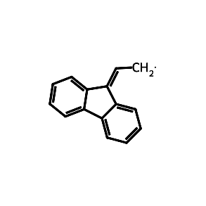 [CH2]C=C1c2ccccc2-c2ccccc21